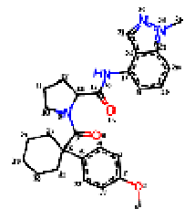 COc1ccc(C2(C(=O)N3CCCC3C(=O)Nc3cccc4c3cnn4C)CCCCC2)cc1